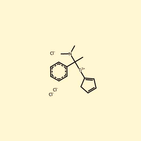 CN(C)[C](C)([Ti+3][C]1=CC=CC1)c1ccccc1.[Cl-].[Cl-].[Cl-]